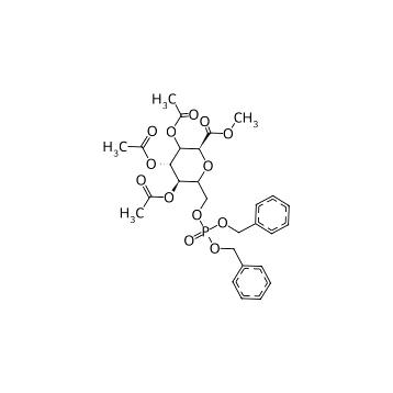 COC(=O)[C@H]1OC(COP(=O)(OCc2ccccc2)OCc2ccccc2)[C@@H](OC(C)=O)[C@H](OC(C)=O)C1OC(C)=O